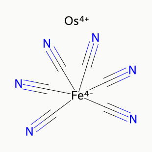 N#[C][Fe-4]([C]#N)([C]#N)([C]#N)([C]#N)[C]#N.[Os+4]